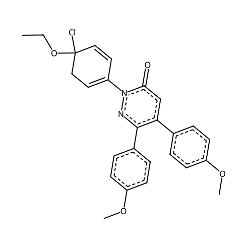 CCOC1(Cl)C=CC(n2nc(-c3ccc(OC)cc3)c(-c3ccc(OC)cc3)cc2=O)=CC1